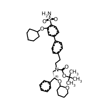 CC(C)(C)OC(=O)N(CCc1ccc(-c2ccc(S(N)(=O)=O)c(OC3CCCCC3)c2)cc1)C[C@H](OC1CCCCO1)c1ccccc1